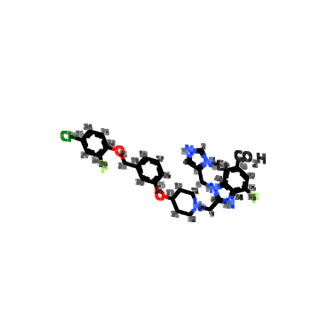 CCn1cncc1Cn1c(CN2CCC(Oc3cccc(COc4ccc(Cl)cc4F)c3)CC2)nc2c(F)cc(C(=O)O)cc21